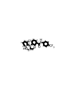 O=C(Nc1ccc(C(F)(F)F)cc1)c1cccc2c1OC[C@H](CO)N2c1ncccc1Cl